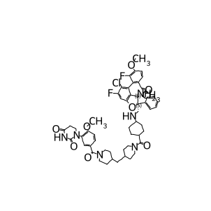 COc1ccc(C(=O)N2CCC(CC3CCN(C(=O)C4CCC(NC[C@]5(c6ccccc6)Oc6cc(F)c(Cl)c(-c7c(C(N)=O)ccc(OC)c7F)c6[C@@H]5C)CC4)CC3)CC2)cc1N1CCC(=O)NC1=O